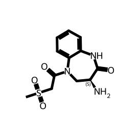 CS(=O)(=O)CC(=O)N1C[C@H](N)C(=O)Nc2ccccc21